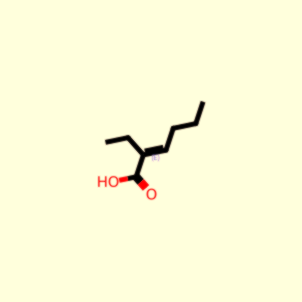 CCC/C=C(\CC)C(=O)O